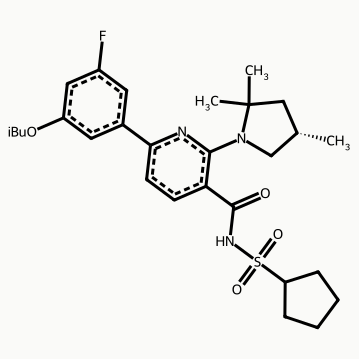 CC(C)COc1cc(F)cc(-c2ccc(C(=O)NS(=O)(=O)C3CCCC3)c(N3C[C@@H](C)CC3(C)C)n2)c1